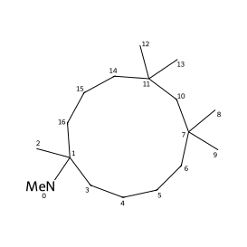 CNC1(C)CCCCC(C)(C)CC(C)(C)CCC1